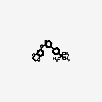 CC(C)(C)c1ccc(-c2ccnc(Oc3ccc4c(c3)OCCO4)c2)cc1